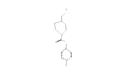 CC[SiH2]CC1CCC(C(=O)Oc2ccc(F)cc2)CC1